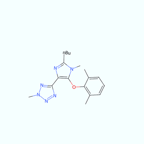 CCCCc1nc(-c2nnn(C)n2)c(Oc2c(C)cccc2C)n1C